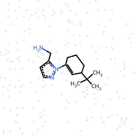 CC(C)(C)C1C=C(n2nccc2CN)CCC1